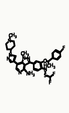 CC(Oc1cc(-c2nn(C)c3c(-c4cnn(C5CCN(C)CC5)c4)cnc(N)c23)ccc1NSC(F)F)c1ccc(F)cc1